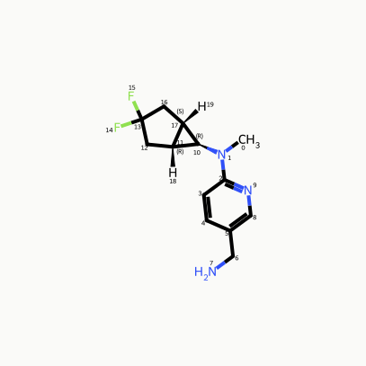 CN(c1ccc(CN)cn1)[C@H]1[C@@H]2CC(F)(F)C[C@@H]21